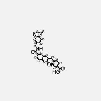 Cn1cnc2cc(CNC(=O)c3ccc4cc(O)c(Cc5ccc(C(=O)O)cc5)cc4c3)ccc21